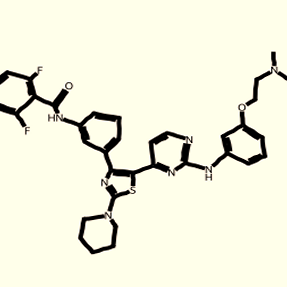 CN(C)CCOc1cccc(Nc2nccc(-c3sc(N4CCCCC4)nc3-c3cccc(NC(=O)c4c(F)cccc4F)c3)n2)c1